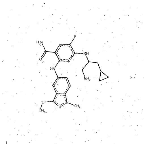 COc1nn(C)c2ccc(Nc3nc(NC(CN)CC4CC4)c(F)cc3C(N)=O)cc12